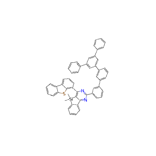 C[Si]1(C)c2ccccc2-c2nc(-c3cccc(-c4cccc(-c5cc(-c6ccccc6)cc(-c6ccccc6)c5)c4)c3)nc(-c3cccc4c3sc3ccccc34)c21